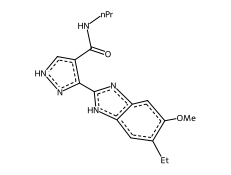 CCCNC(=O)c1c[nH]nc1-c1nc2cc(OC)c(CC)cc2[nH]1